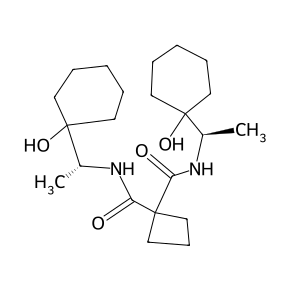 C[C@@H](NC(=O)C1(C(=O)N[C@H](C)C2(O)CCCCC2)CCC1)C1(O)CCCCC1